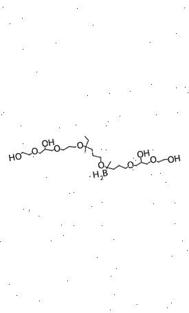 BC(C)(CCCOCC(O)COCCO)OCCCC(C)(CC)OCCCOCC(O)COCCO